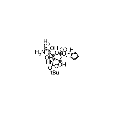 C[C@@H](N)[C@@H](O)[C@@H](O)[C@@H]1O[C@@](OCc2ccccc2)(C(=O)O)C[C@@H](O)[C@H]1NC(=O)OC(C)(C)C